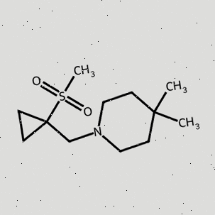 CC1(C)CCN(CC2(S(C)(=O)=O)CC2)CC1